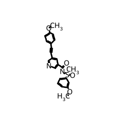 COc1ccc(C#Cc2cncc(C(=O)N=S(C)(=O)c3cccc(OC)c3)c2)cc1